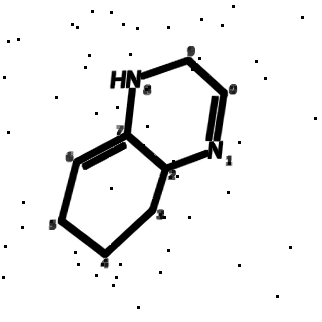 C1=NC2CCCC=C2NC1